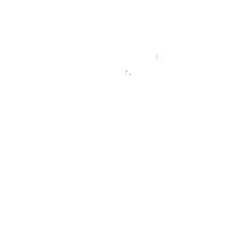 CCN(CCc1cccc(OCc2ccccc2)c1)C1CCCC1